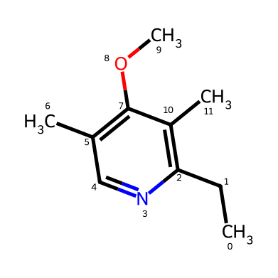 CCc1ncc(C)c(OC)c1C